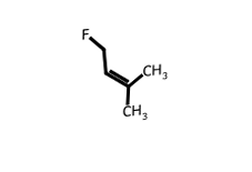 CC(C)=CCF